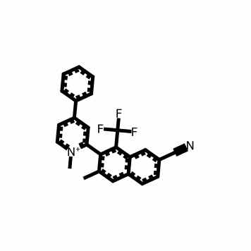 Cc1cc2ccc(C#N)cc2c(C(F)(F)F)c1-c1cc(-c2ccccc2)cc[n+]1C